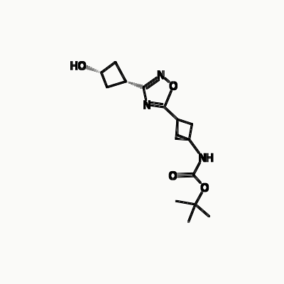 CC(C)(C)OC(=O)NC12CC(c3nc([C@H]4C[C@@H](O)C4)no3)(C1)C2